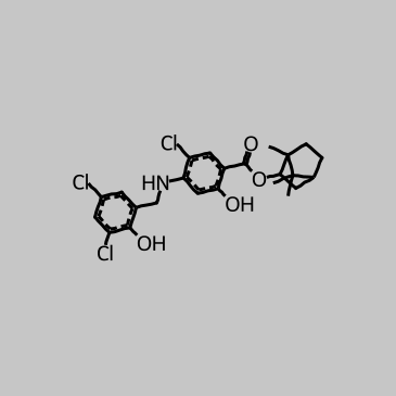 CC1(C)C2CCC1(C)C(OC(=O)c1cc(Cl)c(NCc3cc(Cl)cc(Cl)c3O)cc1O)C2